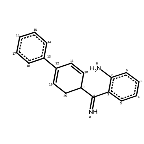 N=C(c1ccccc1N)C1C=CC(c2ccccc2)=CC1